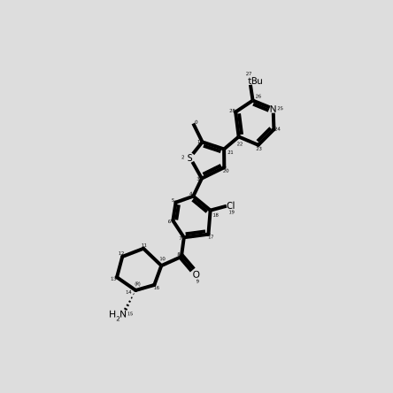 Cc1sc(-c2ccc(C(=O)C3CCC[C@@H](N)C3)cc2Cl)cc1-c1ccnc(C(C)(C)C)c1